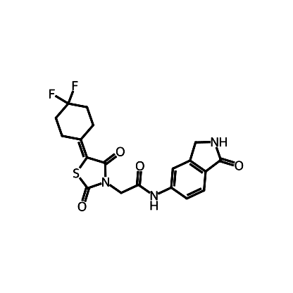 O=C(CN1C(=O)SC(=C2CCC(F)(F)CC2)C1=O)Nc1ccc2c(c1)CNC2=O